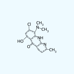 Cc1ccc2c(=O)c3c(O)cc(Cl)c(N(C)C)c3[nH]c2n1